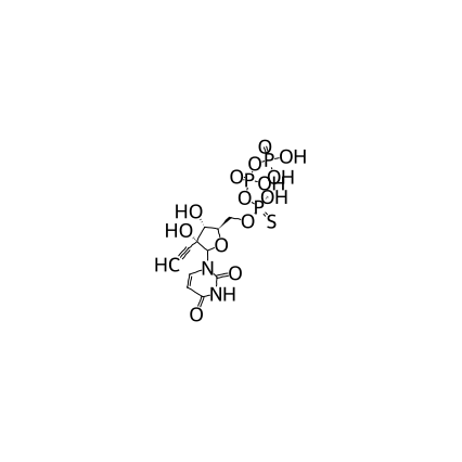 C#C[C@]1(O)C(n2ccc(=O)[nH]c2=O)O[C@H](CO[P@](O)(=S)OP(=O)(O)OP(=O)(O)O)[C@H]1O